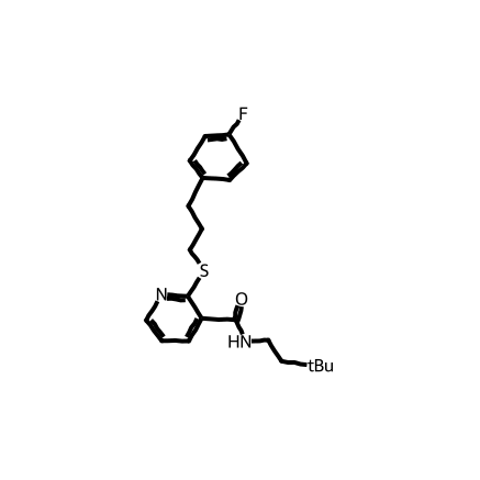 CC(C)(C)CCNC(=O)c1cccnc1SCCCc1ccc(F)cc1